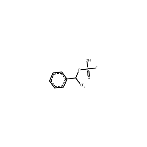 O=P(O)(F)OC(c1ccccc1)C(F)(F)F